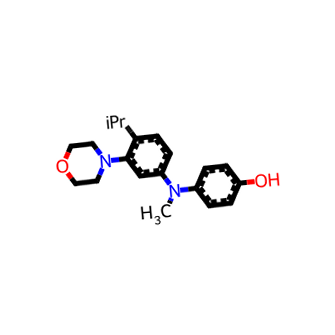 CC(C)c1ccc(N(C)c2ccc(O)cc2)cc1N1CCOCC1